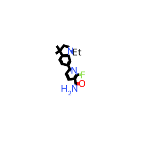 CCN1CCC(C)(C)c2ccc(-c3ccc(C(N)=O)c(F)n3)cc21